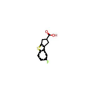 O=C(O)C1Cc2sc3ccc(F)cc3c2C1